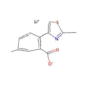 Cc1ccc(-c2csc(C)n2)c(C(=O)[O-])c1.[Li+]